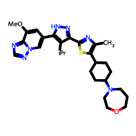 COc1cc(-c2[nH]nc(-c3nc(C)c(C4CCC(N5CCCOCC5)CC4)s3)c2C(C)C)cn2ncnc12